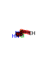 C#CCOCCOCCOCCOCCS(=O)(=O)CCCn1c(CN2C(=O)C3(CCNCC3)c3ccncc32)nc2cc(Cl)ccc21